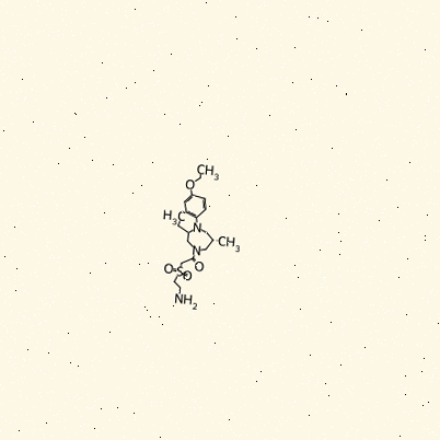 CCOc1ccc(N2C[C@H](C)CN(C(=O)CS(=O)(=O)CCN)CC2CC)cc1